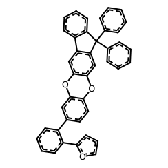 c1ccc(C2(c3ccccc3)c3ccccc3-c3cc4c(cc32)Oc2ccc(-c3ccccc3-c3ccco3)cc2O4)cc1